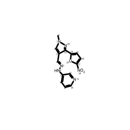 Cn1cc(C=NNc2cccnc2)c(-c2ccc([N+](=O)[O-])o2)n1